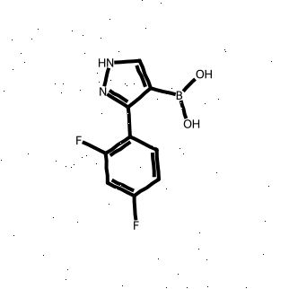 OB(O)c1c[nH]nc1-c1ccc(F)cc1F